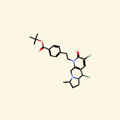 CC1CCC2C(Cl)c3cc(Cl)c(=O)n(CCc4ccc(C(=O)OC(C)(C)C)cc4)c3CN12